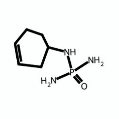 NP(N)(=O)NC1CC=CCC1